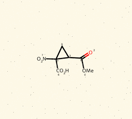 COC(=O)C1CC1(C(=O)O)[N+](=O)[O-]